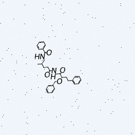 CC(CCC(=O)NCC(=O)C(CCc1ccccc1)OCc1ccccc1)CNC(=O)c1ccccc1